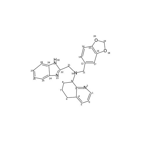 c1cnc2c(c1)CCCC2N(Cc1ccc2c(c1)OCO2)Cc1nc2ccccc2[nH]1